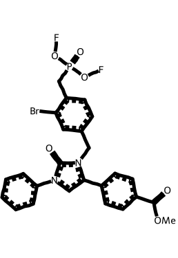 COC(=O)c1ccc(-c2cn(-c3ccccc3)c(=O)n2Cc2ccc(CP(=O)(OF)OF)c(Br)c2)cc1